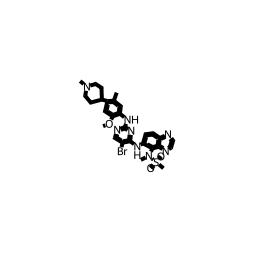 COc1cc(C2CCN(C)CC2)c(C)cc1Nc1ncc(Br)c(Nc2ccc3nccnc3c2N(C)S(C)(=O)=O)n1